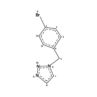 Brc1ccc(Cn2ccnn2)cc1